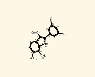 Cc1ccc2c(C=O)c(-c3cc(F)cc(F)c3)[nH]c2c1C